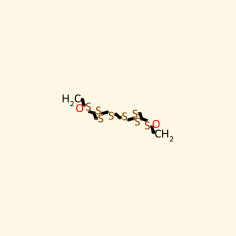 C=CC(=O)SCC1CSC(CSCCSCC2SCC(CSC(=O)C=C)S2)S1